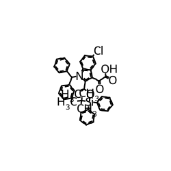 CC(O[Si](c1ccccc1)(c1ccccc1)C(C)(C)C)c1c(C(=O)C(=O)O)c2cc(Cl)ccc2n1C(c1ccccc1)c1ccccc1